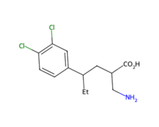 CCC(CC(CN)C(=O)O)c1ccc(Cl)c(Cl)c1